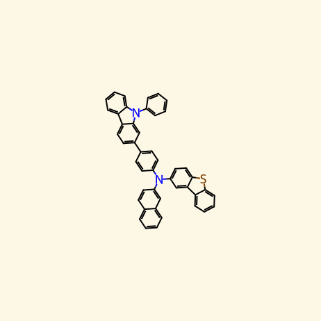 c1ccc(-n2c3ccccc3c3ccc(-c4ccc(N(c5ccc6ccccc6c5)c5ccc6sc7ccccc7c6c5)cc4)cc32)cc1